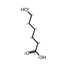 O=C(O)[CH]CCC[CH]O